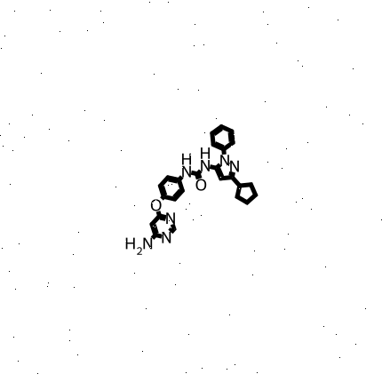 Nc1cc(Oc2ccc(NC(=O)Nc3cc(C4CCCC4)nn3-c3ccccc3)cc2)ncn1